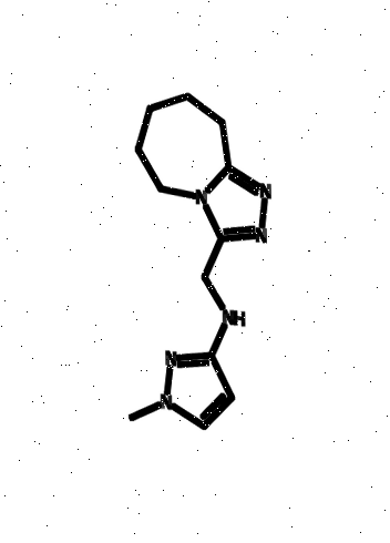 Cn1ccc(NCc2nnc3n2CCCCC3)n1